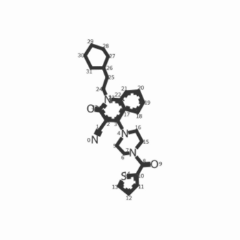 N#Cc1c(N2CCN(C(=O)c3cccs3)CC2)c2ccccc2n(CCC2CCCCC2)c1=O